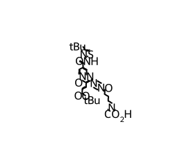 CN(CCCCC(=O)N1CCN(c2nc3cc(C(=O)Nc4nc(C(C)(C)C)cs4)ccn3c(=O)c2C=CC(=O)OC(C)(C)C)CC1)CC(=O)O